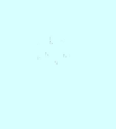 CCCn1c(=O)[nH]c(=O)c2[nH]c(/C=C/c3ccccc3)nc21